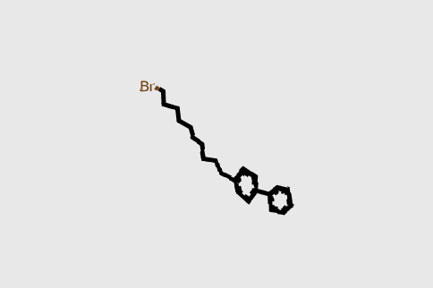 BrCCCCCCCCCCc1ccc(-c2ccccc2)cc1